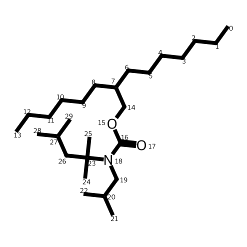 CCCCCCCC(CCCCCC)COC(=O)N(CC(C)C)C(C)(C)CC(C)C